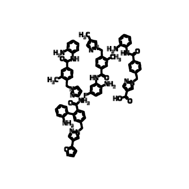 Cc1cc(C(=O)Nc2ccccc2N)ccc1Cn1cccn1.Cc1cnn(Cc2ccc(C(=O)Nc3cc(F)ccc3N)cc2C)c1.NC(=O)c1ccc(Cn2cc(-c3ccco3)cn2)cc1-c1ccccc1N.Nc1ccccc1NC(=O)c1ccc(Cn2cc(C(=O)O)cn2)cc1